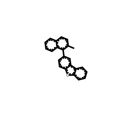 Cc1ccc2ccccc2c1-c1ccc2oc3ccccc3c2c1